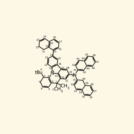 CC1(C)C2=C(C(C(C)(C)C)CC=C2)n2c3ccc(-c4cccc5c4CCC=C5)cc3c3cc(N(C4=CC=C5C=CC=CC5C4)c4ccc5ccccc5c4)cc1c32